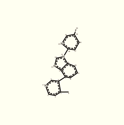 Cc1ccncc1-c1cccc2c1ncn2-c1ccc(F)cn1